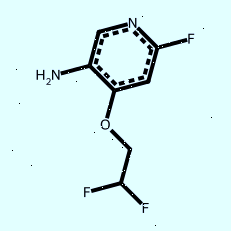 Nc1cnc(F)cc1OCC(F)F